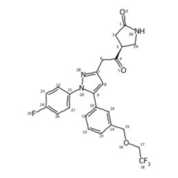 O=C1C[C@H](C(=O)Cc2cc(-c3cccc(COCC(F)(F)F)c3)n(-c3ccc(F)cc3)n2)CN1